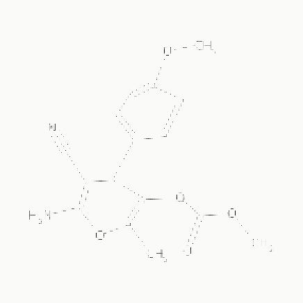 COC(=O)OC1=C(C)OC(N)=C(C#N)C1c1ccc(OC)cc1